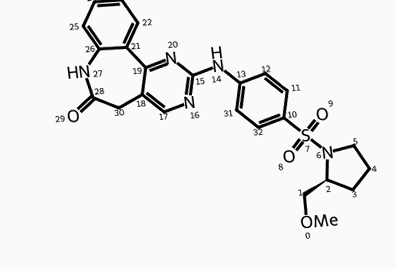 COC[C@@H]1CCCN1S(=O)(=O)c1ccc(Nc2ncc3c(n2)-c2ccccc2NC(=O)C3)cc1